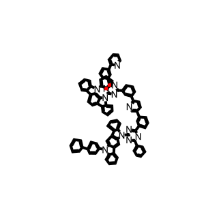 c1ccc(-c2ccc(-n3c4ccccc4c4cc5c(cc43)c3ccccc3n5-c3nc(-c4ccccc4)nc(-c4cccc(-c5ccc(-c6cccc(-c7nc(-c8cccc(-c9ccccn9)c8)nc(-n8c9ccccc9c9ccc%10c%11ccccc%11n(-c%11ccccc%11)c%10c98)n7)c6)nc5)c4)n3)cc2)cc1